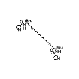 CC[C@H](C)[C@H](NC(=O)c1cccnc1)C(=O)CCSCCCCCCCCCCSCCC(=O)[C@@H](NC(=O)c1cccnc1)[C@@H](C)CC